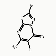 Cc1nc2sc(Br)nn2c(=O)c1Cl